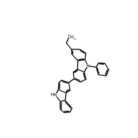 CCc1ccc2c(c1)c1cc(-c3ccc4[nH]c5ccccc5c4c3)ccc1n2-c1ccccc1